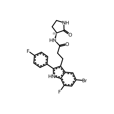 O=C(CCc1c(-c2ccc(F)cc2)[nH]c2c(F)cc(Br)cc12)N[C@H]1CCNC1=O